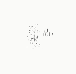 CCC1(N(C)C(=O)O)CCN(c2nc(Nc3ccc4c(c3)NC(=O)C(C)(C)O4)nc3ccoc23)CC1